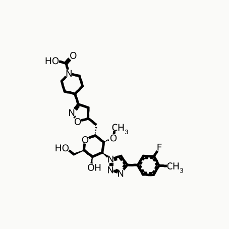 CO[C@@H]1[C@@H](n2cc(-c3ccc(C)c(F)c3)nn2)[C@@H](O)[C@@H](CO)O[C@@H]1CC1CC(C2CCN(C(=O)O)CC2)=NO1